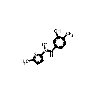 Cc1ccc([S+]([O-])Nc2ccc(C(F)(F)F)c(O)c2)s1